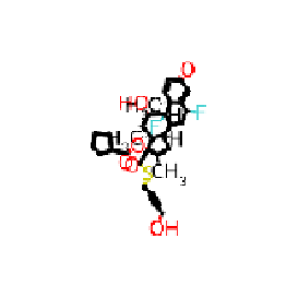 C[C@@H]1C[C@H]2[C@@H]3C[C@H](F)C4=CC(=O)C=C[C@]4(C)[C@@]3(F)[C@@H](O)C[C@]2(C)[C@@]1(OC(=O)C1CCCC1)C(=O)SCC#CCO